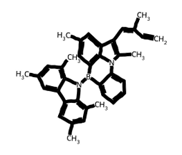 C=C/C(C)=C\c1c(C)n2c3c(cc(C)cc13)B(n1c3c(C)cc(C)cc3c3cc(C)cc(C)c31)c1ccccc1-2